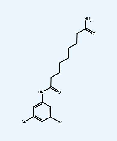 CC(=O)c1cc(NC(=O)CCCCCCCC(N)=O)cc(C(C)=O)c1